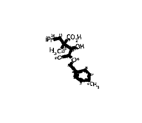 Cc1ccc(COC(=O)C(O)C(C)(CC(C)C)C(=O)O)cc1